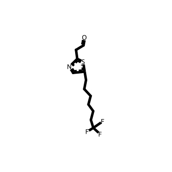 O=CCc1ncc(CCCCCCC(F)(F)F)s1